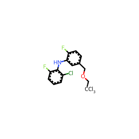 Fc1ccc(COCC(Cl)(Cl)Cl)cc1Nc1c(F)cccc1Cl